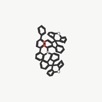 c1ccc(-c2ccc(-c3ccccc3N(c3cccc4c3-c3ccccc3C43c4ccccc4Oc4ccccc43)c3cccc4c3-c3ccccc3C43c4ccccc4Oc4ccccc43)cc2)cc1